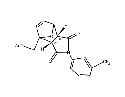 CC(=O)OCC12C=CC(O1)[C@@H]1C(=O)N(c3cccc(C(F)(F)F)c3)C(=O)[C@@H]12